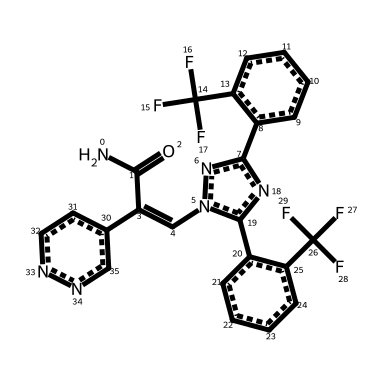 NC(=O)C(=Cn1nc(-c2ccccc2C(F)(F)F)nc1-c1ccccc1C(F)(F)F)c1ccnnc1